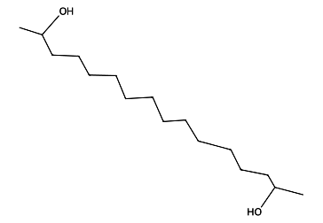 CC(O)CCCCCCCCCCCCC(C)O